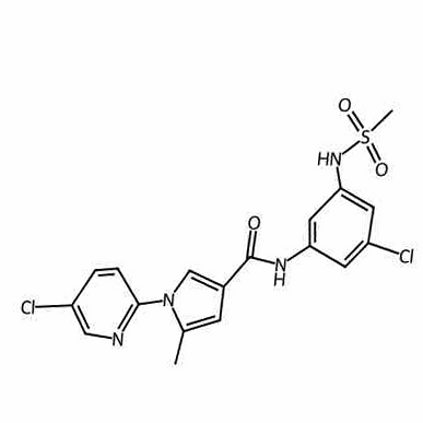 Cc1cc(C(=O)Nc2cc(Cl)cc(NS(C)(=O)=O)c2)cn1-c1ccc(Cl)cn1